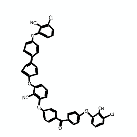 N#Cc1c(Cl)cccc1Oc1ccc(C(=O)c2ccc(Oc3cccc(Oc4ccc(-c5ccc(Oc6cccc(Cl)c6C#N)cc5)cc4)c3C#N)cc2)cc1